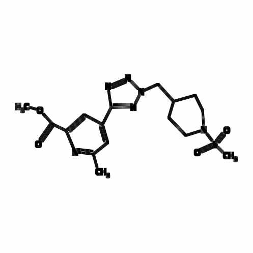 COC(=O)c1cc(-c2nnn(CC3CCN(S(C)(=O)=O)CC3)n2)cc(C)n1